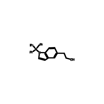 CC(C)[Si](C(C)C)(C(C)C)n1ccc2cc(CCO)ccc21